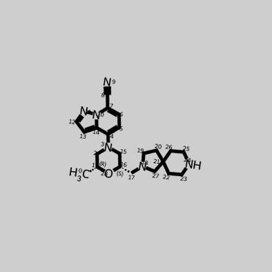 C[C@@H]1CN(c2ccc(C#N)n3nccc23)C[C@H](CN2CCC3(CCNCC3)C2)O1